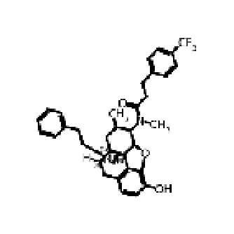 CC1C[C@@]2(O)[C@H]3Cc4ccc(O)c5c4[C@@]2(CCN3CCc2ccccc2)C(O5)C1N(C)C(=O)CCc1ccc(C(F)(F)F)cc1